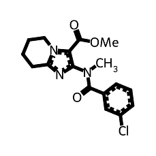 COC(=O)c1c(N(C)C(=O)c2cccc(Cl)c2)nc2n1CCCC2